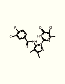 Cc1nn(-c2nc(C)c(Cl)c(=O)[nH]2)c(NC(=O)c2ccc(F)c(Cl)c2)c1C